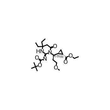 CCOC(=O)[C@H]1C[C@@H]1[C@@H](CCOC)N1C(=O)CC(CC)(CC)NC1=NC(=O)OC(C)(C)C